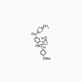 COc1ccc(C2Nc3ccc(C(=O)N4CCN(C)CC4)cc3[C@H]3NCC[C@@H]23)cc1